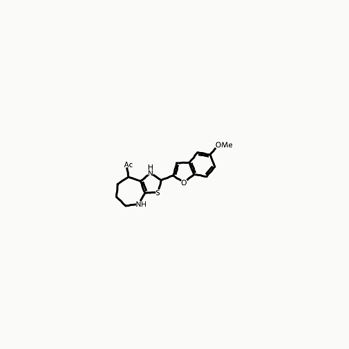 COc1ccc2oc(C3NC4=C(NCCCC4C(C)=O)S3)cc2c1